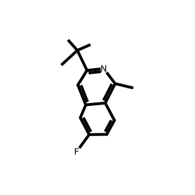 Cc1nc(C(C)(C)C)cc2cc(F)ccc12